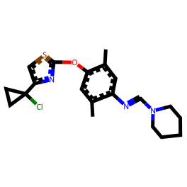 Cc1cc(Oc2nc(C3(Cl)CC3)cs2)c(C)cc1/N=C/N1CCCCC1